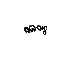 O=C1CCC(c2ccc(N3CCCC3=O)cc2)=NN1